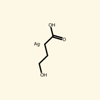 O=C(O)CCCO.[Ag]